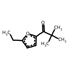 CCc1ccc(C(=O)C(C)(C)C)o1